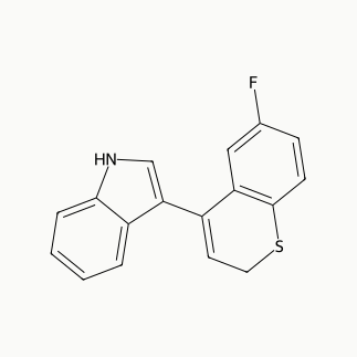 Fc1ccc2c(c1)C(c1c[nH]c3ccccc13)=CCS2